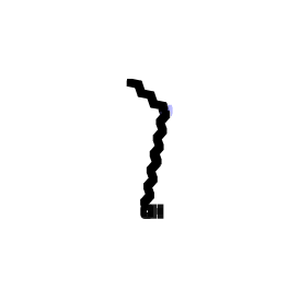 CCCCC/C=C\CCCCC=CCCCCCO